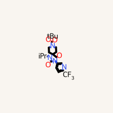 CC(C)N1C(=O)N(c2ccc(C(F)(F)F)nc2)C(=O)C12CCN(C(=O)OC(C)(C)C)CC2